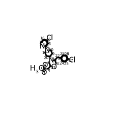 CS(=O)(=O)CC1CN(C2CCN(c3cc(Cl)ccn3)CC2)C(Cc2ccc(Cl)cc2)CO1